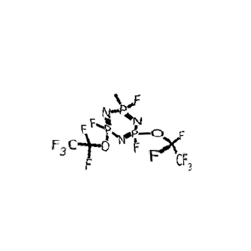 CP1(F)=NP(F)(OC(F)(F)C(F)(F)F)=NP(F)(OC(F)(F)C(F)(F)F)=N1